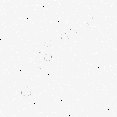 Cc1cccc(OCC2CC2C(=O)N2C[C@@H]3C[C@@H]3c3c(-c4cnn(Cc5cccc(C(=O)NCCS(=O)(=O)O)c5)c4)cccc32)c1C